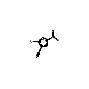 N#Cc1cc([N+](=O)[O-])sc1N